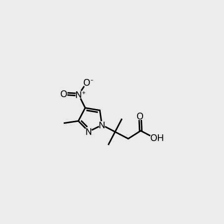 Cc1nn(C(C)(C)CC(=O)O)cc1[N+](=O)[O-]